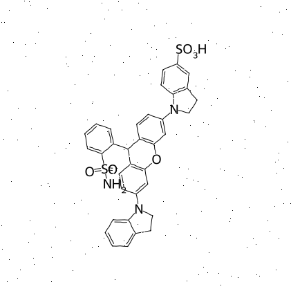 NS(=O)(=O)c1ccccc1C1c2ccc(N3CCc4ccccc43)cc2Oc2cc(N3CCc4cc(S(=O)(=O)O)ccc43)ccc21